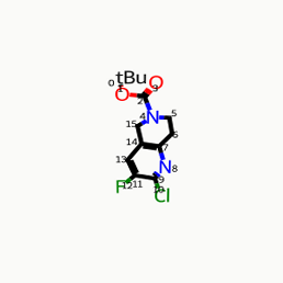 CC(C)(C)OC(=O)N1CCc2nc(Cl)c(F)cc2C1